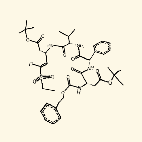 CCS(=O)(=O)/C(Cl)=C/[C@H](CC(=O)OC(C)(C)C)NC(=O)[C@@H](NC(=O)[C@@H](NC(=O)[C@H](CC(=O)OC(C)(C)C)NC(=O)OCc1ccccc1)c1ccccc1)C(C)C